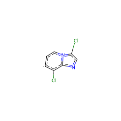 Clc1[c]ccn2c(Cl)cnc12